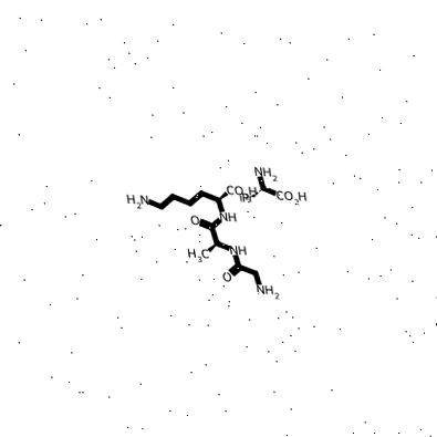 CC(C)[C@H](N)C(=O)O.C[C@H](NC(=O)CN)C(=O)N[C@@H](CCCCN)C(=O)O